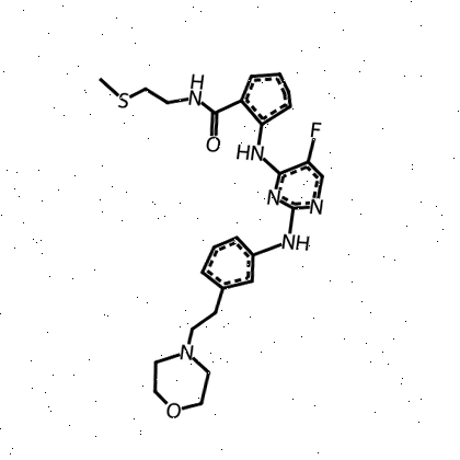 CSCCNC(=O)c1ccccc1Nc1nc(Nc2cccc(CCN3CCOCC3)c2)ncc1F